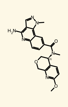 COc1ccc2c(n1)COC[C@H]2N(C)C(=O)c1ccc2nc(N)c3cnn(C)c3c2c1